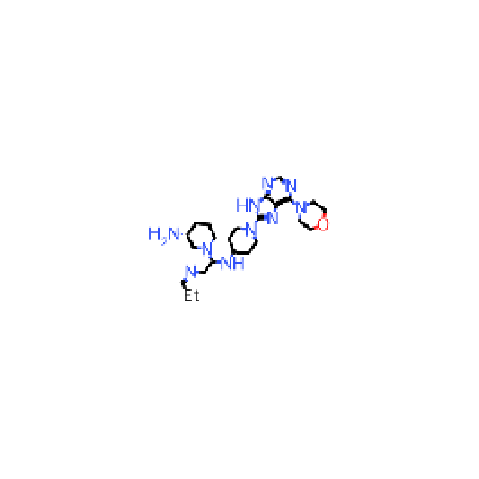 CC/C=N\CC(NC1CCN(c2nc3c(N4CCOCC4)ncnc3[nH]2)CC1)N1CCC[C@@H](N)C1